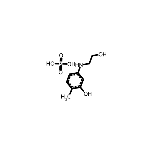 Cc1ccc(NCCO)cc1O.O=S(=O)(O)O